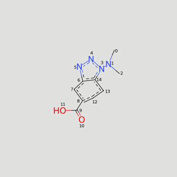 CN(C)n1nnc2cc(C(=O)O)ccc21